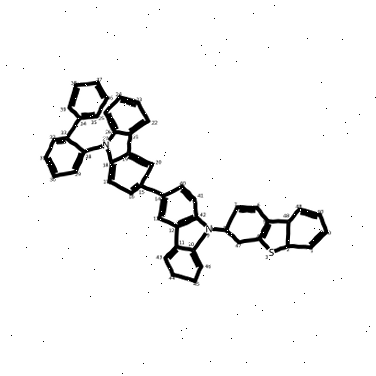 C1=CC2SC3=C(C=CC(n4c5c(c6cc(-c7ccc8c(c7)c7ccccc7n8-c7ccccc7-c7ccccc7)ccc64)=CCCC=5)C3)C2C=C1